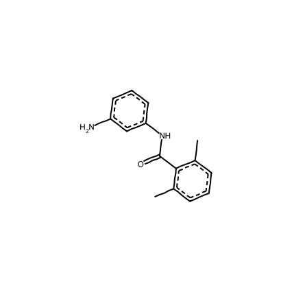 Cc1cccc(C)c1C(=O)Nc1cccc(N)c1